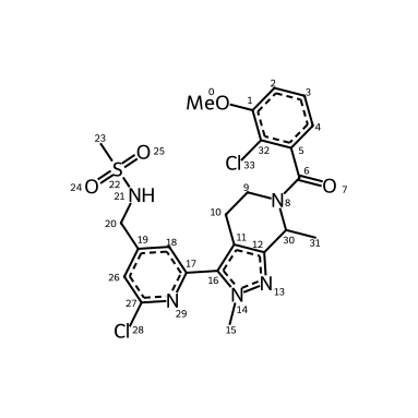 COc1cccc(C(=O)N2CCc3c(nn(C)c3-c3cc(CNS(C)(=O)=O)cc(Cl)n3)C2C)c1Cl